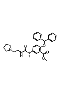 COC(=O)c1cc(NC(=O)NCCN2CCCC2)ccc1OC(c1ccccc1)c1ccccc1